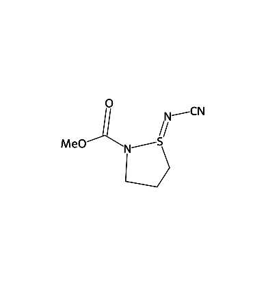 COC(=O)N1CCC/S1=N\C#N